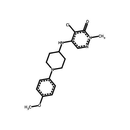 COc1ccc(N2CCC(Nc3cnn(C)c(=O)c3Cl)CC2)cc1